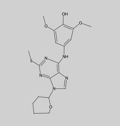 COc1cc(Nc2nc(SC)nc3c2ncn3C2CCCCO2)cc(OC)c1O